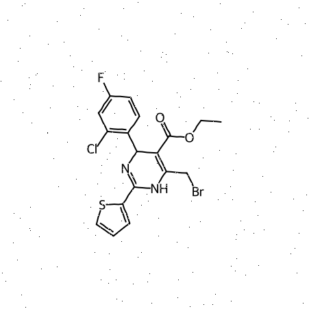 CCOC(=O)C1=C(CBr)NC(c2cccs2)=NC1c1ccc(F)cc1Cl